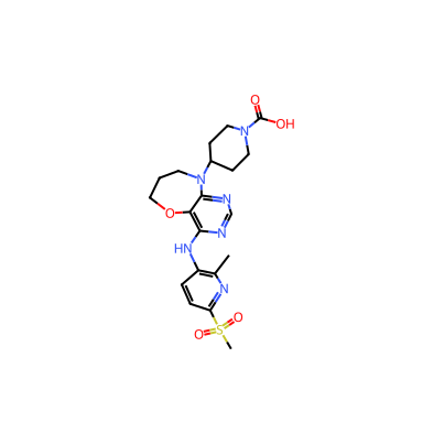 Cc1nc(S(C)(=O)=O)ccc1Nc1ncnc2c1OCCCN2C1CCN(C(=O)O)CC1